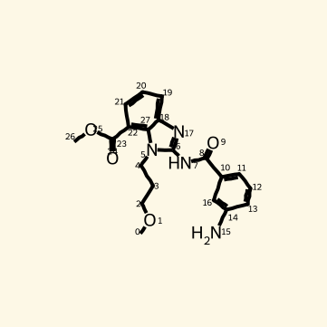 COCCCn1c(NC(=O)c2cccc(N)c2)nc2cccc(C(=O)OC)c21